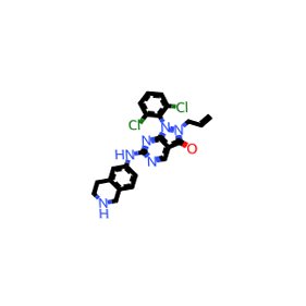 C=CCn1c(=O)c2cnc(Nc3ccc4c(c3)CCNC4)nc2n1-c1c(Cl)cccc1Cl